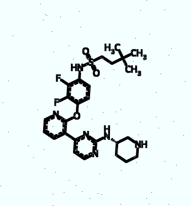 CC(C)(C)CCS(=O)(=O)Nc1ccc(Oc2ncccc2-c2ccnc(N[C@H]3CCCNC3)n2)c(F)c1F